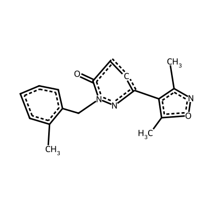 Cc1ccccc1Cn1nc(-c2c(C)noc2C)ccc1=O